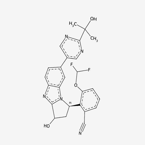 CC(C)(O)c1ncc(-c2ccc3nc4n(c3c2)[C@@H](c2c(C#N)cccc2OC(F)F)CC4O)cn1